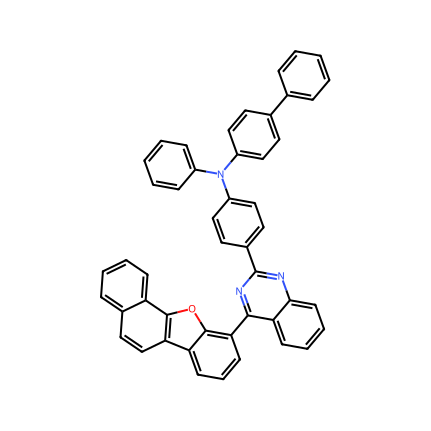 c1ccc(-c2ccc(N(c3ccccc3)c3ccc(-c4nc(-c5cccc6c5oc5c7ccccc7ccc65)c5ccccc5n4)cc3)cc2)cc1